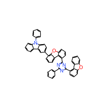 c1ccc(-c2nc(-c3cccc4oc5ccccc5c34)nc(-c3cccc4oc5c(-c6ccc7c(c6)c6ccccc6n7-c6ccccc6)cccc5c34)n2)cc1